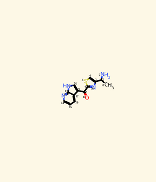 CC(N)c1csc(C(=O)c2c[nH]c3ncccc23)n1